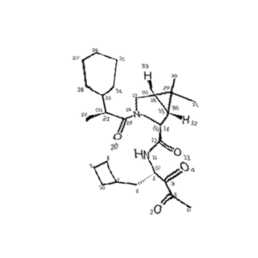 CC(=O)C(=O)[C@H](CC1CCC1)NC(=O)[C@@H]1[C@@H]2[C@H](CN1C(=O)[C@@H](C)C1CCCCC1)C2(C)C